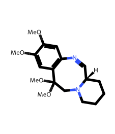 COc1cc2c(cc1OC)C(OC)(OC)CN1CCCC[C@H]1/C=N\2